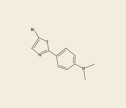 CN(C)c1ccc(-c2ncc(Br)s2)cc1